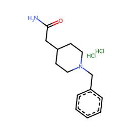 Cl.Cl.NC(=O)CC1CCN(Cc2ccccc2)CC1